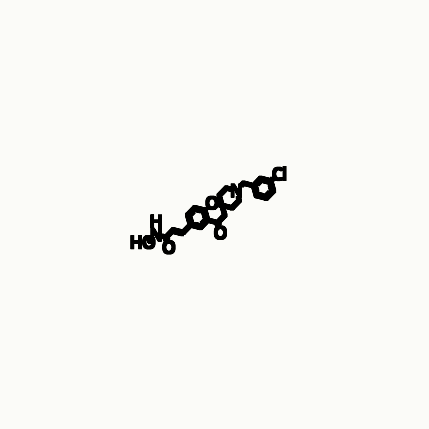 O=C(/C=C/c1ccc2c(c1)C(=O)CC1(CCN(Cc3cccc(Cl)c3)CC1)O2)NO